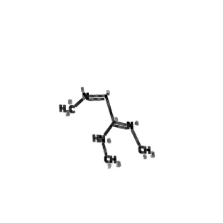 C/N=C\C(=N\C)NC